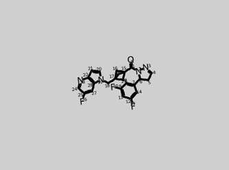 O=C(N1N=CCC1c1cc(F)cc(F)c1)C12CC(Cn3ccc4ncc(F)cc43)(C1)C2